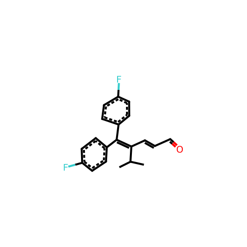 CC(C)C(C=CC=O)=C(c1ccc(F)cc1)c1ccc(F)cc1